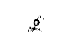 Cc1ccc(C2(C)NN2)cc1